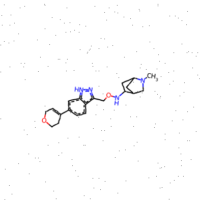 CN1CC2CC1CC2NOCc1n[nH]c2cc(C3=CCOCC3)ccc12